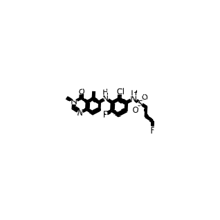 Cc1c(Nc2c(F)ccc(NS(=O)(=O)CCCF)c2Cl)ccc2ncn(C)c(=O)c12